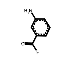 Nc1cccc(C(=O)F)c1